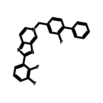 Fc1cc(Cn2ccc3nc(-c4cccc(F)c4F)nc-3c2)ccc1-c1ccccc1